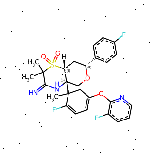 CC1([C@]23CO[C@@H](c4ccc(F)cc4)C[C@H]2S(=O)(=O)C(C)(C)C(=N)N3)CC(Oc2ncccc2F)=CC=C1F